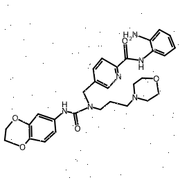 Nc1ccccc1NC(=O)c1ccc(CN(CCCN2CCOCC2)C(=O)Nc2ccc3c(c2)OCCO3)cn1